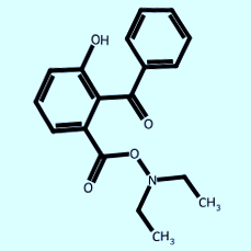 CCN(CC)OC(=O)c1cccc(O)c1C(=O)c1ccccc1